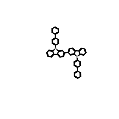 c1ccc(-c2ccc(-n3c4ccccc4c4ccc(-c5ccc6c7ccccc7n(-c7ccc(-c8ccccc8)cc7)c6c5)cc43)cc2)cc1